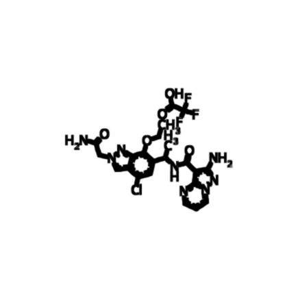 CCOc1c(C(C)NC(=O)c2c(N)nn3cccnc23)cc(Cl)c2cn(CC(N)=O)nc12.O=C(O)C(F)(F)F